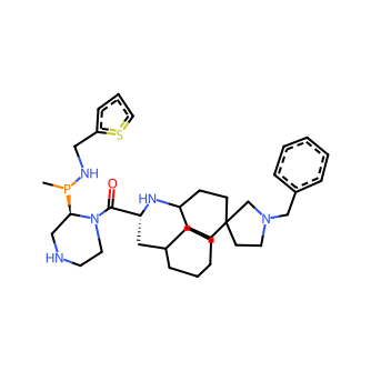 CP(NCc1cccs1)[C@@H]1CNCCN1C(=O)[C@@H](CC1CCCCC1)NC1CCC2(CC1)CCN(Cc1ccccc1)C2